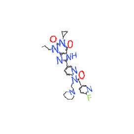 CCCn1c(=O)n(C2CC2)c(=O)c2[nH]c(-c3ccc(N(CCN4CCCCC4)C(=O)c4ccc(F)nc4)nc3)nc21